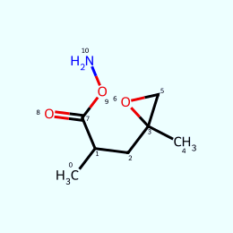 CC(CC1(C)CO1)C(=O)ON